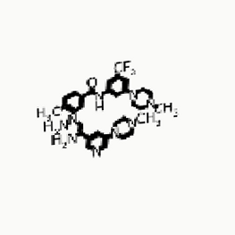 Cc1ccc(C(=O)Nc2cc(N3CCN(C)CC3)cc(C(F)(F)F)c2)cc1N(N)/C=C(\N)c1cncc(N2CCN(C)CC2)c1